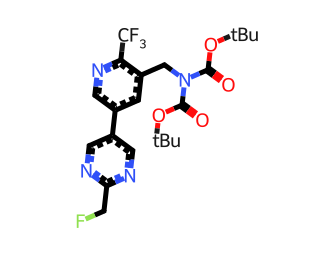 CC(C)(C)OC(=O)N(Cc1cc(-c2cnc(CF)nc2)cnc1C(F)(F)F)C(=O)OC(C)(C)C